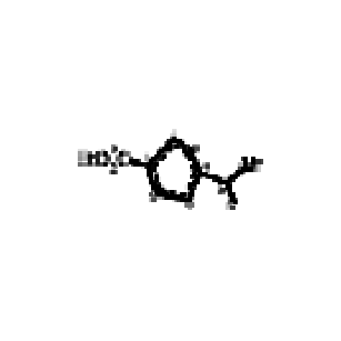 CCOC(=O)c1ccc(C(C)Br)cc1